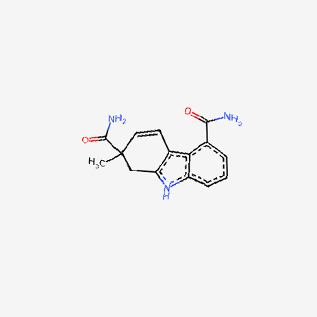 CC1(C(N)=O)C=Cc2c([nH]c3cccc(C(N)=O)c23)C1